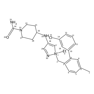 CC[N+]1(Cc2ccc(C)cc2-c2cccc(Cl)c2)C=C(NC2CCN(C(N)=O)CC2)C=N1